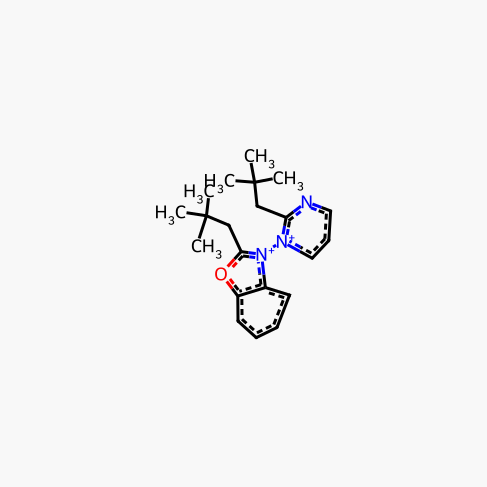 CC(C)(C)Cc1nccc[n+]1-[n+]1c(CC(C)(C)C)oc2ccccc21